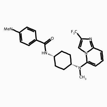 CNc1ccc(C(=O)N[C@H]2CC[C@@H](N(C)c3cccc4nc(C(F)(F)F)cn34)CC2)cc1